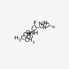 CC(C)(C)OC(=O)Nc1ccc(F)c(-c2cn3cc(C4CC4)cnc3n2)c1